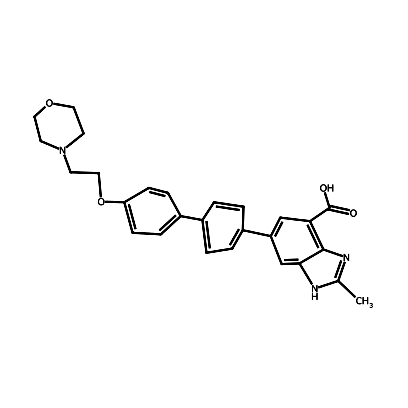 Cc1nc2c(C(=O)O)cc(-c3ccc(-c4ccc(OCCN5CCOCC5)cc4)cc3)cc2[nH]1